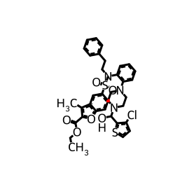 CCOC(=O)c1oc2ccc(S(=O)(=O)N(CCc3ccccc3)c3ccccc3N3CCN(C(O)c4sccc4Cl)CC3)cc2c1C